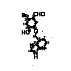 O=Cc1cc(OCc2ccnc3[nH]cnc23)c(O)cc1Br